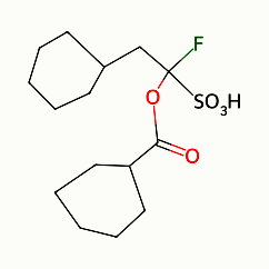 O=C(OC(F)(CC1CCCCC1)S(=O)(=O)O)C1CCCCC1